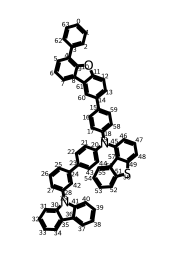 c1ccc(-c2cccc3c2oc2ccc(-c4ccc(N(c5ccc(-c6cccc(-n7c8ccccc8c8ccccc87)c6)cc5)c5cccc6sc7ccccc7c56)cc4)cc23)cc1